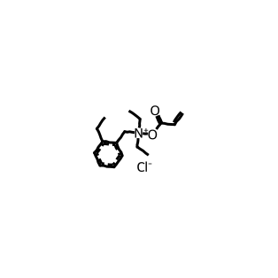 C=CC(=O)O[N+](CC)(CC)Cc1ccccc1CC.[Cl-]